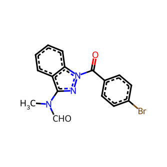 CN(C=O)c1nn(C(=O)c2ccc(Br)cc2)c2ccccc12